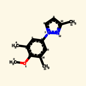 COc1c(C)cc(-n2ccc(C)n2)cc1C